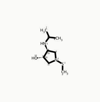 CSN1C[C@H](NC(C)C)[C@@H](O)C1